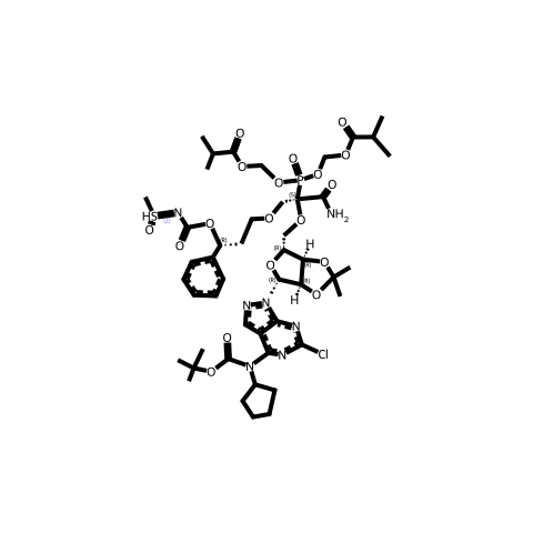 CC(C)C(=O)OCOP(=O)(OCOC(=O)C(C)C)[C@](COCC[C@@H](OC(=O)/N=[SH](/C)=O)c1ccccc1)(OC[C@H]1O[C@@H](n2ncc3c(N(C(=O)OC(C)(C)C)C4CCCC4)nc(Cl)nc32)[C@@H]2OC(C)(C)O[C@@H]21)C(N)=O